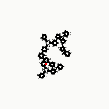 c1ccc(-c2nc(-c3ccc(-c4cccc5c4oc4cc(-c6ccc7c(c6)c6c(-c8nc(-c9ccccc9)nc(-c9ccccc9)n8)cccc6n7-c6ccccc6)ccc45)cc3)nc(-c3cccc(-c4cccc5c4c4cc(-c6ccc7sc8ccccc8c7c6)ccc4n5-c4ccccc4)c3)n2)cc1